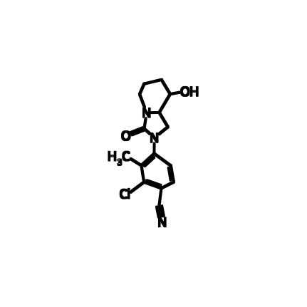 Cc1c(N2CC3C(O)CCCN3C2=O)ccc(C#N)c1Cl